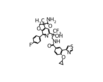 C[C@]1(C(N)=O)COc2c1cc([C@@](O)(CNC(=O)c1ccc(OC3CC3)c(-c3cscn3)c1)C(F)(F)F)nc2-c1ccc(F)cc1